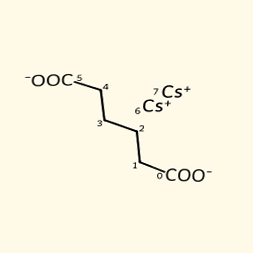 O=C([O-])CCCCC(=O)[O-].[Cs+].[Cs+]